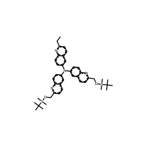 CCc1ccc2cc(N(c3ccc4nc(CO[Si](C)(C)C(C)(C)C)ccc4c3)c3ccc4nc(CO[Si](C)(C)C(C)(C)C)ccc4c3)ccc2n1